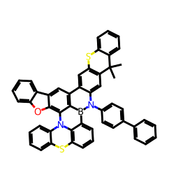 CC1(C)c2ccccc2Sc2cc3c(cc21)N(c1ccc(-c2ccccc2)cc1)B1c2cccc4c2N(c2ccccc2S4)c2c1c-3cc1c2oc2ccccc21